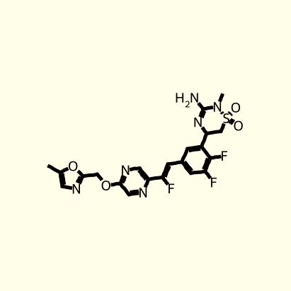 Cc1cnc(COc2cnc(/C(F)=C/c3cc(F)c(F)c(C4CS(=O)(=O)N(C)C(N)=N4)c3)cn2)o1